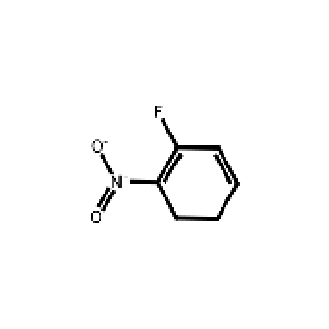 O=[N+]([O-])C1=C(F)C=CCC1